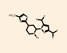 CC(=O)N1CCC(c2nc(C(=O)O)cs2)CC1n1nc(C(F)F)cc1C(F)F